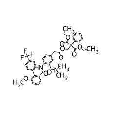 CCOC(=O)C(COC(=O)Cc1ccc(NC(=O)c2cccc(OC)c2-c2ccc(C(F)(F)F)cc2)c(C(=O)N(C)C)c1)(C(=O)OCC)c1ccccc1